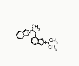 CC(Cc1cccc2cn(C(C)C)cc12)N1C=C2C=CC=CC2C1